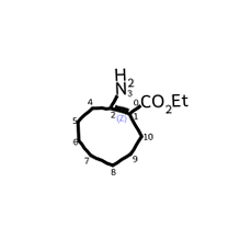 CCOC(=O)/C1=C(\N)CCCCCCC1